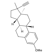 C#CC1(C)CC[C@H]2[C@@H]3CCc4cc(OC)ccc4[C@H]3CC[C@@]21C